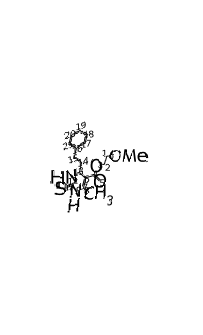 COCCOC(=O)C1=C(C)NC(=S)NC1CCc1ccccc1